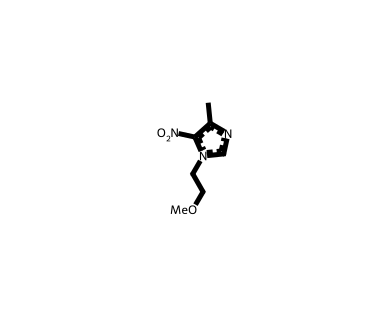 COCCn1cnc(C)c1[N+](=O)[O-]